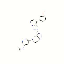 COc1cccc(-c2ccnc3[nH]c(-c4n[nH]c5ccc(-c6cncc(NC(C)C)c6)nc45)nc23)c1